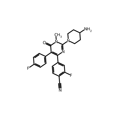 Cn1c(N2CCC(N)CC2)nc(-c2ccc(C#N)c(F)c2)c(-c2ccc(F)cc2)c1=O